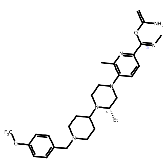 C=C(N)O/C(=N\C)c1ccc(N2CCN(C3CCN(Cc4ccc(OC(F)(F)F)cc4)CC3)[C@@H](CC)C2)c(C)n1